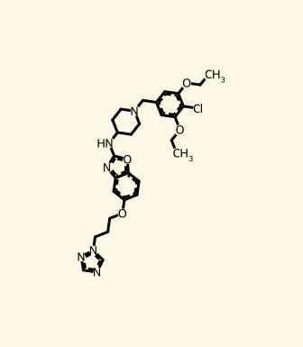 CCOc1cc(CN2CCC(Nc3nc4cc(OCCCn5cncn5)ccc4o3)CC2)cc(OCC)c1Cl